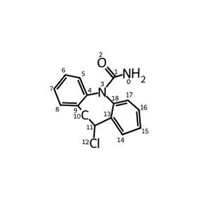 NC(=O)N1c2ccccc2CC(Cl)c2ccccc21